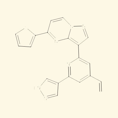 O=Cc1cc(-c2cn[nH]c2)nc(-c2cnn3ccc(-c4cccs4)nc23)c1